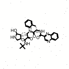 CC(C)(C)NC(=O)C(=O)[C@H](C[C@@H]1CCNC1O)NC(=O)[C@H](Cc1ccccc1)NC(=O)c1cnc2ccccc2n1